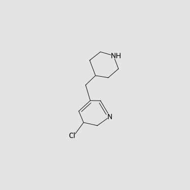 ClC1C=C(CC2CCNCC2)C=NC1